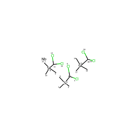 C[Si](C)(C)C(Cl)Cl.C[Si](C)(C)C(Cl)Cl.C[Si](C)(C)C(Cl)Cl.[Nb]